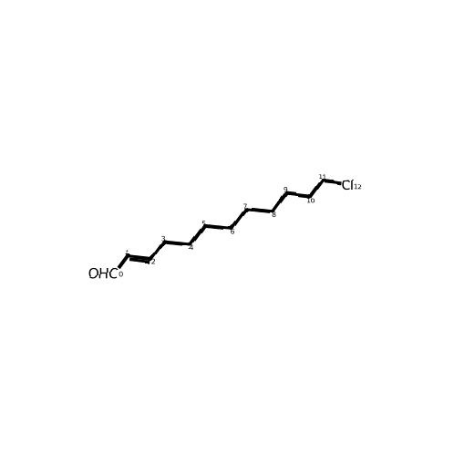 O=C/C=C/CCCCCCCCCCl